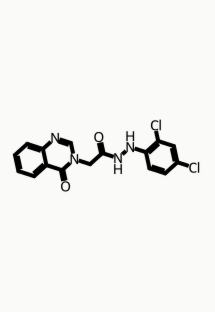 O=C(Cn1cnc2ccccc2c1=O)NNc1ccc(Cl)cc1Cl